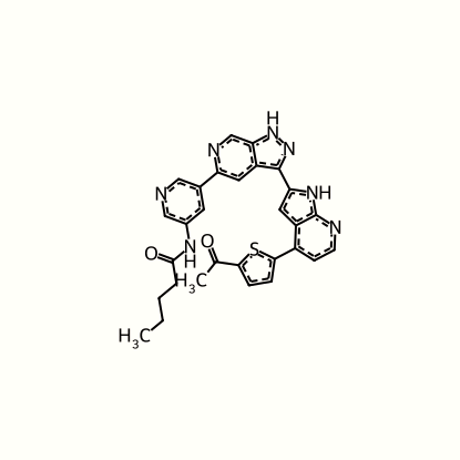 CCCCC(=O)Nc1cncc(-c2cc3c(-c4cc5c(-c6ccc(C(C)=O)s6)ccnc5[nH]4)n[nH]c3cn2)c1